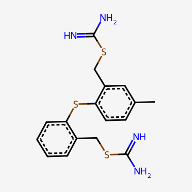 Cc1ccc(Sc2ccccc2CSC(=N)N)c(CSC(=N)N)c1